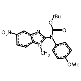 COc1ccc(N(C(=O)OC(C)(C)C)c2nc3cc([N+](=O)[O-])ccc3n2C)cc1